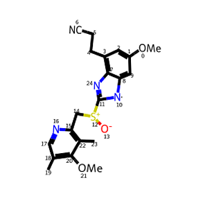 COc1cc(CCC#N)c2c(c1)[N]C([S+]([O-])Cc1ncc(C)c(OC)c1C)=N2